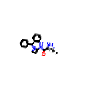 C[C@@H](N)C(=O)NC1CCN1C(c1ccccc1)c1ccccc1